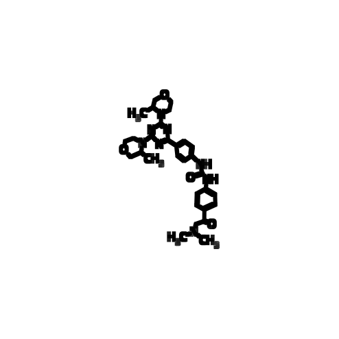 CC1COCCN1c1nc(-c2ccc(NC(=O)Nc3ccc(C(=O)CN(C)C)cc3)cc2)nc(N2CCOCC2C)n1